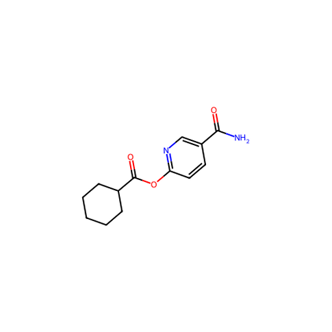 NC(=O)c1ccc(OC(=O)C2CCCCC2)nc1